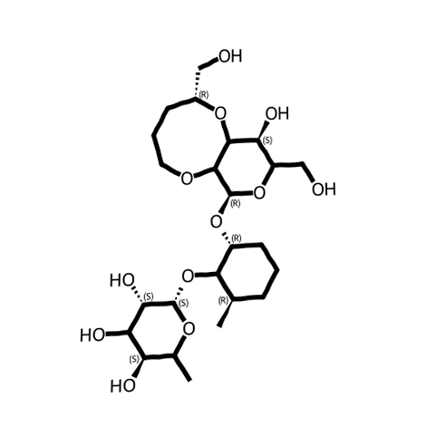 CC1O[C@@H](OC2[C@H](C)CCC[C@H]2O[C@@H]2OC(CO)[C@H](O)C3O[C@@H](CO)CCCOC32)[C@@H](O)C(O)[C@@H]1O